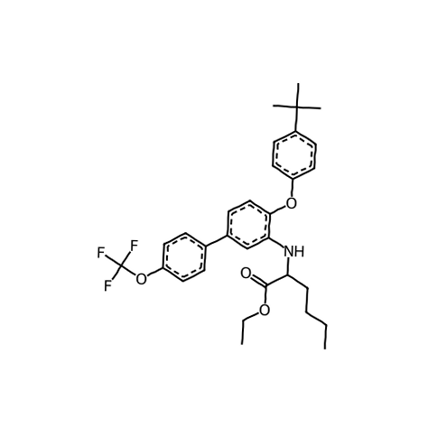 CCCCC(Nc1cc(-c2ccc(OC(F)(F)F)cc2)ccc1Oc1ccc(C(C)(C)C)cc1)C(=O)OCC